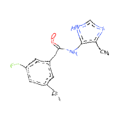 N#Cc1nc[nH]c1NC(=O)c1cc(F)cc(C(F)(F)F)c1